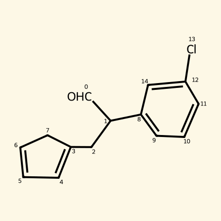 O=CC(CC1=CC=CC1)c1cccc(Cl)c1